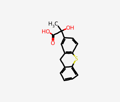 CC(O)(C(=O)O)c1ccc2c(c1)Cc1ccccc1S2